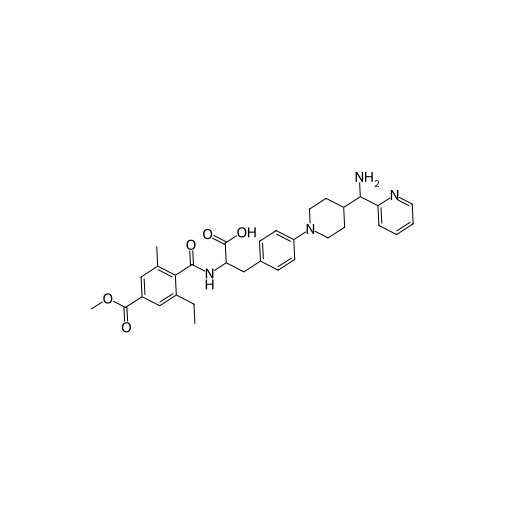 CCc1cc(C(=O)OC)cc(C)c1C(=O)NC(Cc1ccc(N2CCC(C(N)c3ccccn3)CC2)cc1)C(=O)O